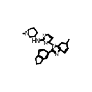 Cc1ccc2nc(-c3ccc4c(c3)CCC4)n(-c3ccnc(N[C@H]4CCCN(C)C4)n3)c2c1